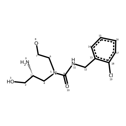 N[C@@H](CO)CN(CC[O])C(=O)NCc1ccccc1Cl